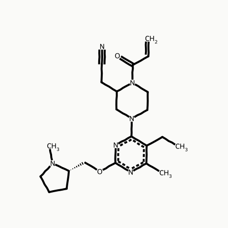 C=CC(=O)N1CCN(c2nc(OC[C@@H]3CCCN3C)nc(C)c2CC)CC1CC#N